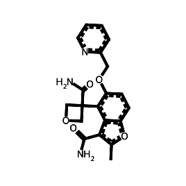 Cc1oc2ccc(OCc3ccccn3)c(C3(C(N)=O)COC3)c2c1C(N)=O